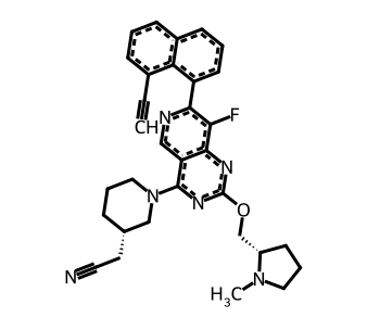 C#Cc1cccc2cccc(-c3ncc4c(N5CCC[C@@H](CC#N)C5)nc(OC[C@@H]5CCCN5C)nc4c3F)c12